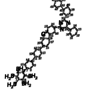 Bc1c(B)c(B)c(-c2ccc(-c3ccc(-c4ccc5c(c4)oc4ccc(-c6nc(-c7ccccc7)nc(-c7cccc(-c8ccccc8)c7)n6)cc45)cc3)cc2)c(B)c1B